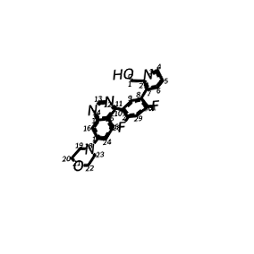 OCc1ncccc1-c1cc(-c2ncnc3cc(N4CCOCC4)ccc23)c(F)cc1F